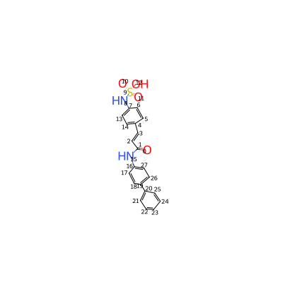 O=C(/C=C/c1ccc(NS(=O)(=O)O)cc1)Nc1ccc(-c2ccccc2)cc1